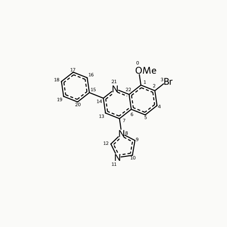 COc1c(Br)ccc2c(-n3ccnc3)cc(-c3ccccc3)nc12